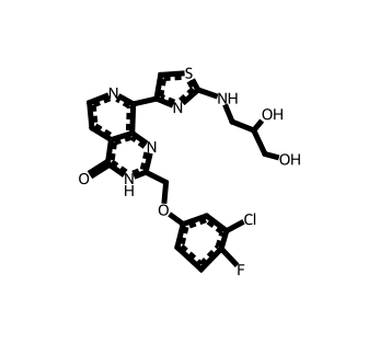 O=c1[nH]c(COc2ccc(F)c(Cl)c2)nc2c(-c3csc(NCC(O)CO)n3)nccc12